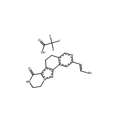 CC(C)(C)C=Cc1cc2c(cn1)CCc1c-2nn2c1C(=O)NCC2.O=C(O)C(F)(F)F